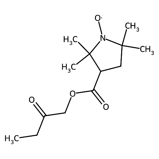 CCC(=O)COC(=O)C1CC(C)(C)N([O])C1(C)C